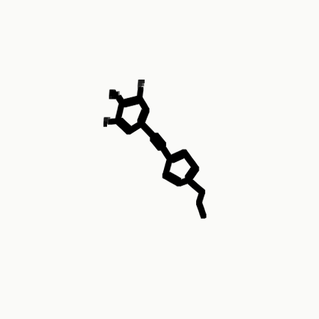 CCCc1ccc(C#Cc2cc(F)c(Br)c(F)c2)cc1